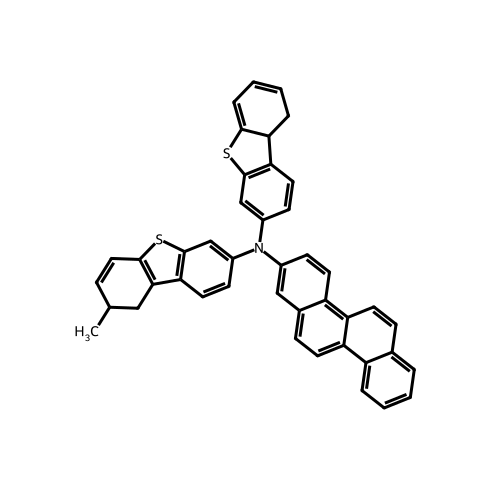 CC1C=Cc2sc3cc(N(c4ccc5c(c4)SC4=CC=CCC45)c4ccc5c(ccc6c7ccccc7ccc56)c4)ccc3c2C1